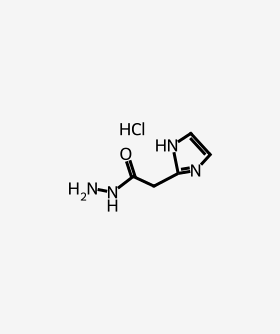 Cl.NNC(=O)Cc1ncc[nH]1